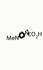 CN[C@H]1CC[C@H](N(C)C(=O)O)CC1